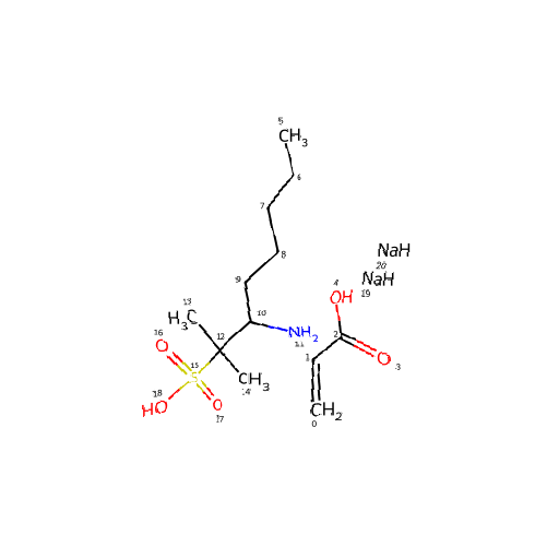 C=CC(=O)O.CCCCCC(N)C(C)(C)S(=O)(=O)O.[NaH].[NaH]